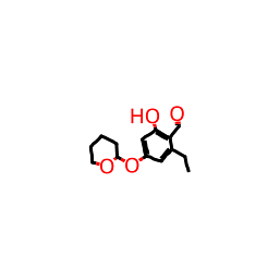 CCc1cc(OC2CCCCO2)cc(O)c1C=O